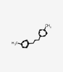 Cc1ccc(CCCc2ccc(C)cc2)cc1